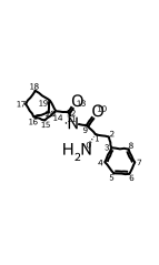 N[C@@H](Cc1ccccc1)C(=O)[N]C(=O)C1CC2CCC1C2